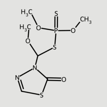 COC(SP(=S)(OC)OC)n1ncsc1=O